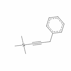 C[Si](C)(C)C#CCc1ccccc1